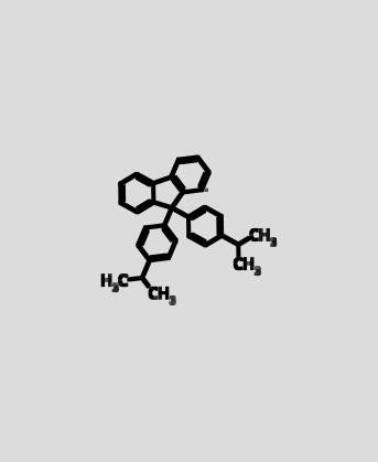 CC(C)c1ccc(C2(c3ccc(C(C)C)cc3)c3[c]cccc3-c3ccccc32)cc1